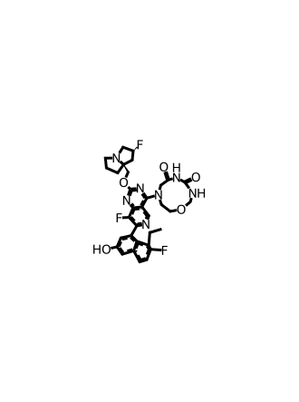 CCc1c(F)ccc2cc(O)cc(-c3ncc4c(N5CCOCNC(=O)NC(=O)C5)nc(OC[C@@]56CCCN5C[C@H](F)C6)nc4c3F)c12